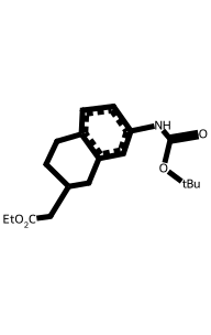 CCOC(=O)CC1CCc2ccc(NC(=O)OC(C)(C)C)cc2C1